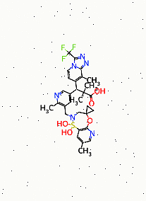 Cc1cnc2c(c1)S(O)(O)N(Cc1cc(C(c3ccn4c(C(F)(F)F)nnc4c3C)C(C)(C)C(=O)O)cnc1C)CC1(CC1)O2